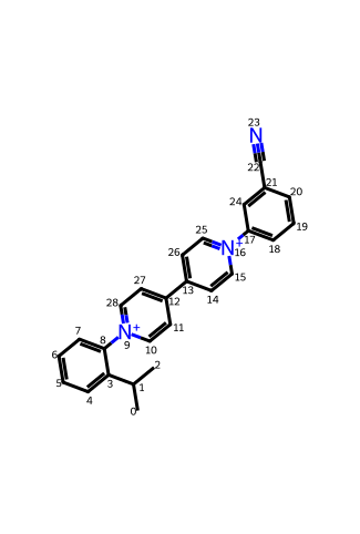 CC(C)c1ccccc1-[n+]1ccc(-c2cc[n+](-c3cccc(C#N)c3)cc2)cc1